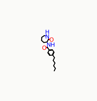 CCCCCCc1ccc(C(=O)N[C@H]2CCCCNC2=O)cc1